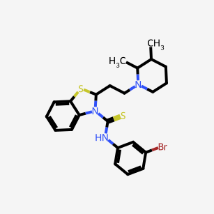 CC1CCCN(CCC2Sc3ccccc3N2C(=S)Nc2cccc(Br)c2)C1C